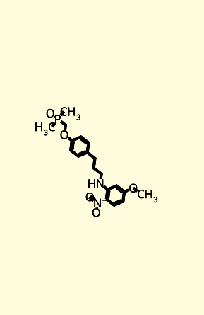 COc1ccc([N+](=O)[O-])c(NCCCc2ccc(OCP(C)(C)=O)cc2)c1